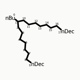 [CH2]CCCC(CCCCCCCCCCCCCCCCC)CCCCCCCCCCCCCCCCC